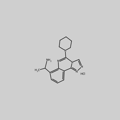 CC(N)c1cccc2c1nc(N1CCCCC1)n1cnnc21.Cl